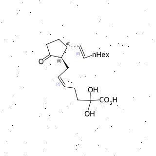 CCCCCC/C=C/[C@H]1CCC(=O)[C@@H]1C/C=C\CCC(O)(O)C(=O)O